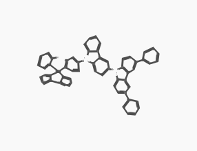 c1ccc(-c2ccc3c(c2)c2cc(-c4ccccc4)ccc2n3-c2ccc3c(c2)c2ccccc2n3-c2ccc3c(c2)Oc2ccccc2C32c3ccccc3-c3ccccc32)cc1